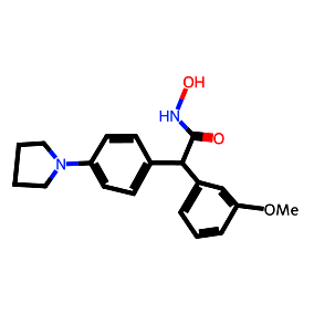 COc1cccc(C(C(=O)NO)c2ccc(N3CCCC3)cc2)c1